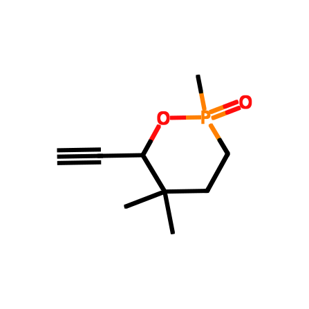 C#CC1OP(C)(=O)CCC1(C)C